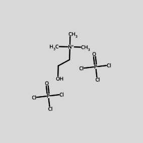 C[N+](C)(C)CCO.O=P(Cl)(Cl)Cl.O=P(Cl)(Cl)Cl